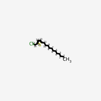 CCCCCCCCCCCCc1ccc(CCl)s1